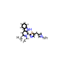 CCCN1CC(Cc2cnc([C@@H]3c4[nH]c5ccccc5c4C[C@@H](C)N3CC(F)(F)F)s2)C1